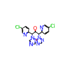 O=C(C(c1ccc(Cl)cn1)n1cncn1)C(c1ccc(Cl)cn1)n1cncn1